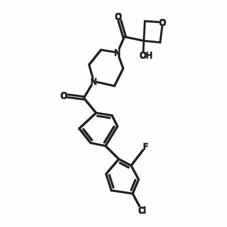 O=C(c1ccc(-c2ccc(Cl)cc2F)cc1)N1CCN(C(=O)C2(O)COC2)CC1